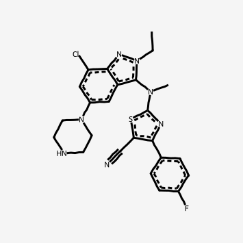 CCn1nc2c(Cl)cc(N3CCNCC3)cc2c1N(C)c1nc(-c2ccc(F)cc2)c(C#N)s1